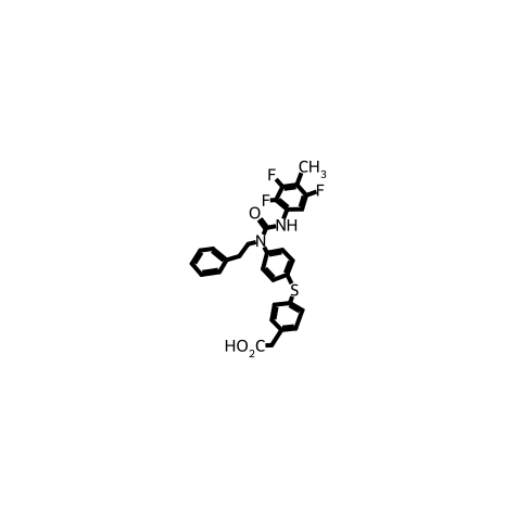 Cc1c(F)cc(NC(=O)N(CCc2ccccc2)c2ccc(Sc3ccc(CC(=O)O)cc3)cc2)c(F)c1F